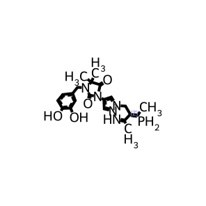 CC(=N)/C(Cn1cc(N2C(=O)N(Cc3ccc(O)c(O)c3)C(C)(C)C2=O)cn1)=C(/C)P